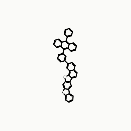 c1ccc(-c2c3ccccc3c(-c3cccc(-c4ccc5ccc6c7cc8c(cc7oc6c5c4)sc4ccccc48)c3)c3ccccc23)cc1